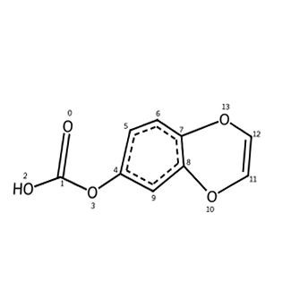 O=C(O)Oc1ccc2c(c1)OC=CO2